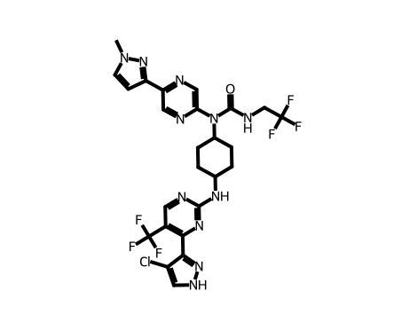 Cn1ccc(-c2cnc(N(C(=O)NCC(F)(F)F)C3CCC(Nc4ncc(C(F)(F)F)c(-c5n[nH]cc5Cl)n4)CC3)cn2)n1